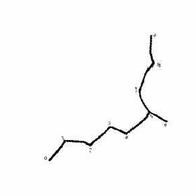 C[CH]CCCC(C)CCC